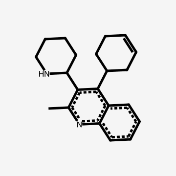 Cc1nc2ccccc2c(C2CC=CCC2)c1C1CCCCN1